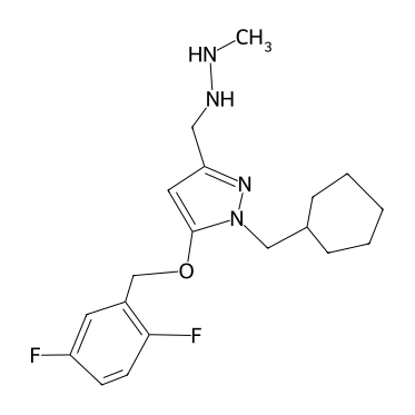 CNNCc1cc(OCc2cc(F)ccc2F)n(CC2CCCCC2)n1